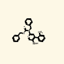 CNc1cnc(N(Cc2ccccc2)C(=O)OCc2ccccc2)cc1-c1ccccc1C